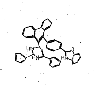 c1ccc(C2=NC(c3c(-c4ccc(C5Nc6ccccc6O5)cc4)c4ccccc4c4ccccc34)NC(c3ccccc3)N2)cc1